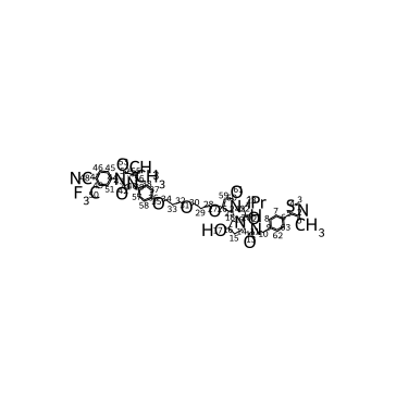 Cc1ncsc1-c1ccc(CNC(=O)[C@@H]2C[C@@H](O)CN2C(=O)[C@H](C(C)C)N2CC(OCCCOCCCOc3ccc(N4C(=O)N(c5ccc(C#N)c(C(F)(F)F)c5)C(=O)C4(C)C)cc3)=CC2=O)cc1